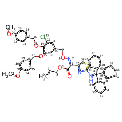 C=CCOC(=O)/C(=N\OCc1cc(Cl)c(OCc2ccc(OC)cc2)c(OCc2ccc(OC)cc2)c1)c1csc(NC(c2ccccc2)(c2ccccc2)c2ccccc2)n1